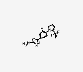 Nc1nnc(-c2ccc(N3CCC[C@H]3C(F)(F)F)c(F)c2)o1